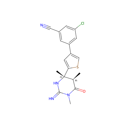 C[C@H]1C(=O)N(C)C(=N)N[C@]1(C)c1cc(-c2cc(Cl)cc(C#N)c2)cs1